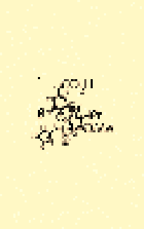 COc1cc(C(=O)CC2CCCC2)c(Oc2c(Br)cc(CC(=O)O)cc2Br)cc1C(C)C